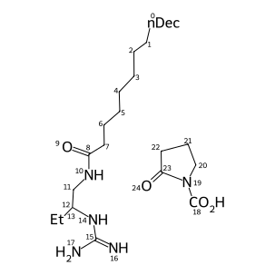 CCCCCCCCCCCCCCCCCC(=O)NCC(CC)NC(=N)N.O=C(O)N1CCCC1=O